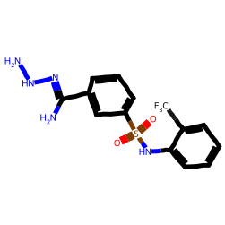 NN/N=C(\N)c1cccc(S(=O)(=O)Nc2ccccc2C(F)(F)F)c1